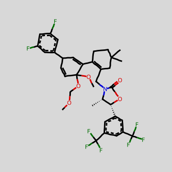 COCOC1(OC)C=CC(c2cc(F)cc(F)c2)C=C1C1=C(CN2C(=O)O[C@H](c3cc(C(F)(F)F)cc(C(F)(F)F)c3)[C@@H]2C)CC(C)(C)CC1